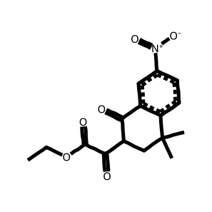 CCOC(=O)C(=O)C1CC(C)(C)c2ccc([N+](=O)[O-])cc2C1=O